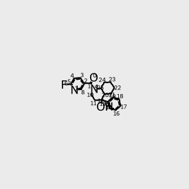 O=C(c1ccc(F)nc1)N1CCC(O)(c2ccccc2)C2CCCCC21